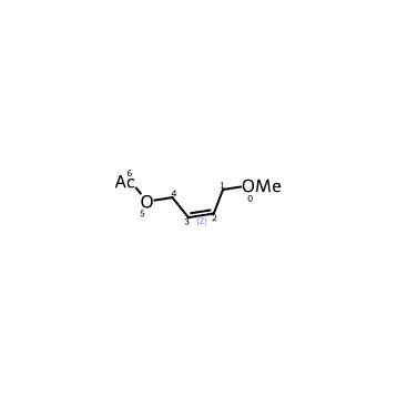 COC/C=C\COC(C)=O